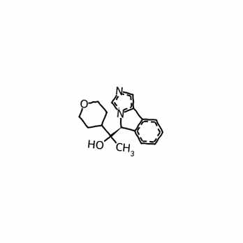 CC(O)(C1CCOCC1)[C@@H]1c2ccccc2-c2cncn21